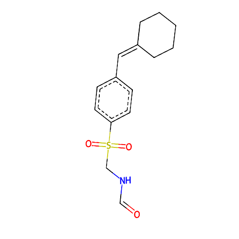 O=CNCS(=O)(=O)c1ccc(C=C2CCCCC2)cc1